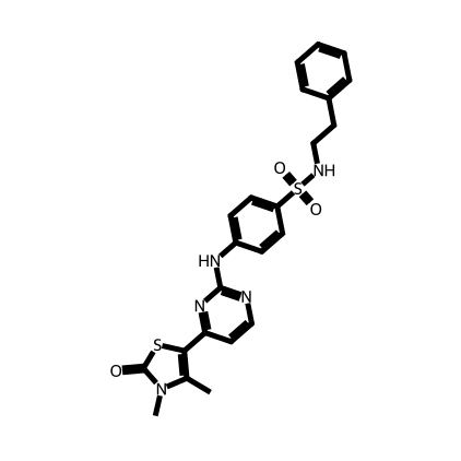 Cc1c(-c2ccnc(Nc3ccc(S(=O)(=O)NCCc4ccccc4)cc3)n2)sc(=O)n1C